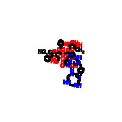 CC1OC(OC(COC2OC(CO)C(O)C(O[C@@H](CC3CCCCC3)C(=O)O)C2OC(=O)c2ccccc2)C(CCC(=O)NCCNCc2ccc(CN3CCCNCCNCCCNCC3)cc2)NC(=O)c2cc(O)nc(O)n2)C(O)C(O)C1O